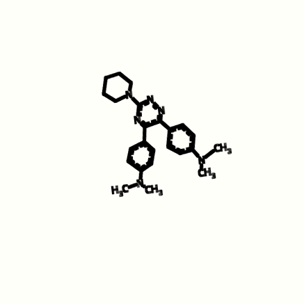 CN(C)c1ccc(-c2nnc(N3CCCCC3)nc2-c2ccc(N(C)C)cc2)cc1